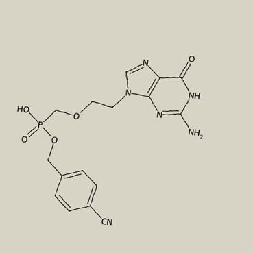 N#Cc1ccc(COP(=O)(O)COCCn2cnc3c(=O)[nH]c(N)nc32)cc1